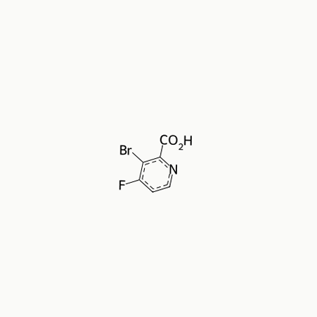 O=C(O)c1nccc(F)c1Br